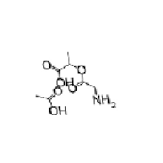 CC(=O)O.CC(OC(=O)CN)C(=O)O